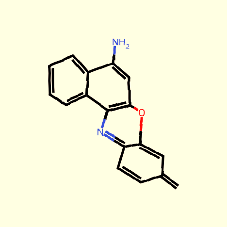 C=c1ccc2c(c1)Oc1cc(N)c3ccccc3c1N=2